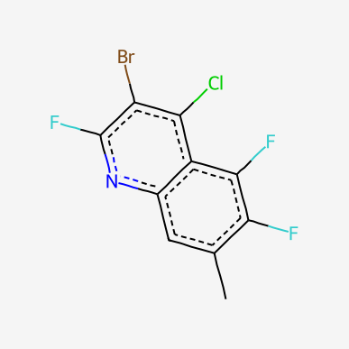 Cc1cc2nc(F)c(Br)c(Cl)c2c(F)c1F